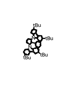 CC(C)(C)c1ccc2c(c1)c1cc(C(C)(C)C)ccc1n2-c1cccc(-n2c3ccc(C(C)(C)C)cc3c3cc(C(C)(C)C)ccc32)c1-c1ccccc1